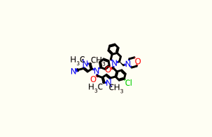 Cc1c(N(C(=O)c2cc(-c3cc(Cl)ccc3C(=O)N3Cc4ccccc4C[C@H]3CN3CCOCC3)n(C)c2C)c2ccccc2)cc(C#N)n1C